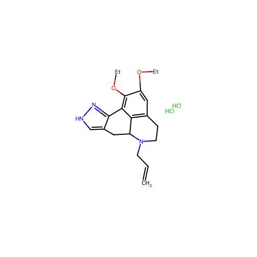 C=CCN1CCc2cc(OCC)c(OCC)c3c2C1Cc1c[nH]nc1-3.Cl.Cl